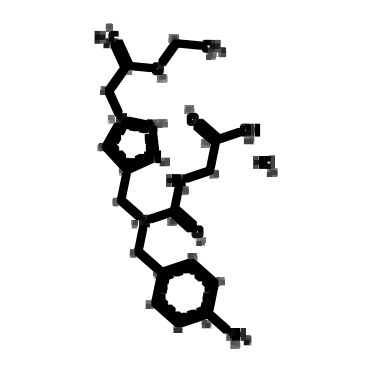 C=C(Cn1cc(CN(Cc2ccc(N)cc2)C(=O)NCC(=O)O)nn1)OCC.Cl